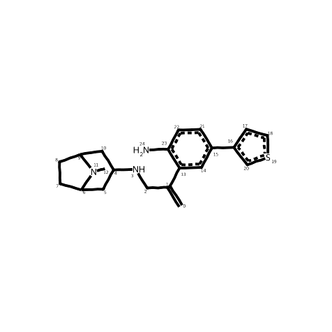 C=C(CNC1CC2CCC(C1)N2C)c1cc(-c2ccsc2)ccc1N